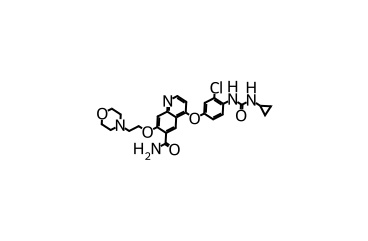 NC(=O)c1cc2c(Oc3ccc(NC(=O)NC4CC4)c(Cl)c3)ccnc2cc1OCCN1CCOCC1